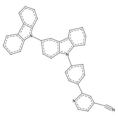 N#Cc1ccnc(-c2ccc(-n3c4ccccc4c4cc(-n5c6ccccc6c6ccccc65)ccc43)cc2)c1